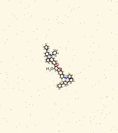 Cc1cc2c3cc4ccc(N(c5ccccc5)c5cc(-c6ccccc6)ccc5-c5ccccc5)cc4cc3oc2c2oc3cc4cc(N(c5ccccc5)c5cc(-c6ccccc6)ccc5-c5ccccc5)ccc4cc3c12